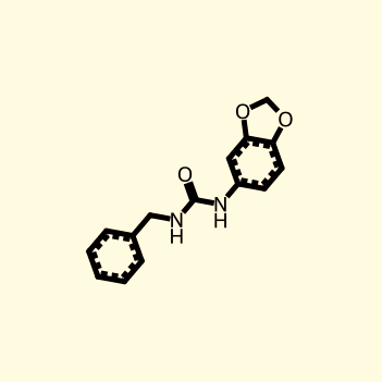 O=C(NCc1ccccc1)Nc1ccc2c(c1)OCO2